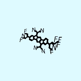 N#CC(C#N)=C1c2cc(-c3cc(F)nc(F)c3)ccc2-c2cc3c(cc21)-c1ccc(-c2cc(F)nc(C(F)(F)F)c2)cc1C3=C(C#N)C#N